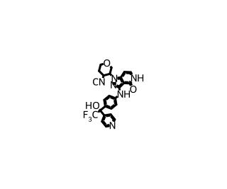 N#CC1CCOCC1n1nc(Nc2ccc(C(O)(c3ccncc3)C(F)(F)F)cc2)c2c(=O)[nH]ccc21